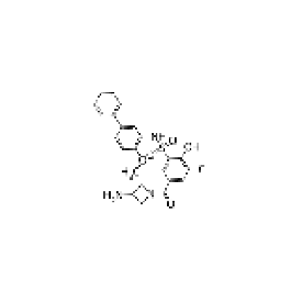 COc1ccc(-c2ccccc2)cc1NS(=O)(=O)c1cc(C(=O)N2CC(N)C2)cc(Cl)c1O